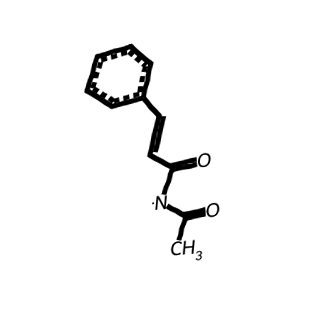 CC(=O)[N]C(=O)C=Cc1ccccc1